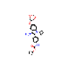 Nc1c(-c2ccc(NC(=O)OC3CCC3)cc2)n(C2CCC2)c2ccc(OC3COCOC3)cc12